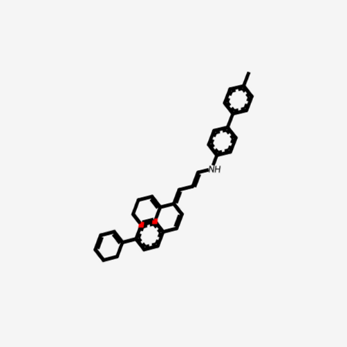 Cc1ccc(-c2ccc(N/C=C/C=C(\C=C/c3ccc(C4=CC=CCC4)cc3)C3=CCCC=C3)cc2)cc1